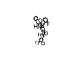 O=C(NCc1ccc(Cl)c(Cl)c1)N1CCC2(CC1)NC(Cc1ccccc1)C(=O)N2Cc1ccccc1F